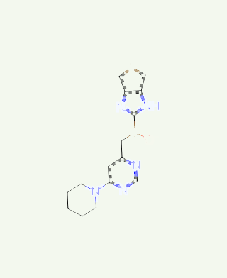 [O-][S+](Cc1cc(N2CCCCC2)ncn1)c1nc2cscc2[nH]1